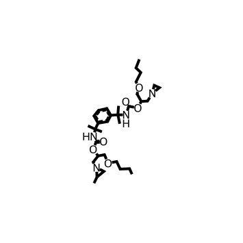 CCCCOCC(CN1CC1)OC(=O)NC(C)(C)c1cccc(C(C)(C)NC(=O)OC(COCCCC)CN2CC2C)c1